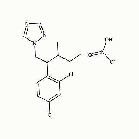 CCC(C)C(Cn1cncn1)c1ccc(Cl)cc1Cl.O=[N+]([O-])O